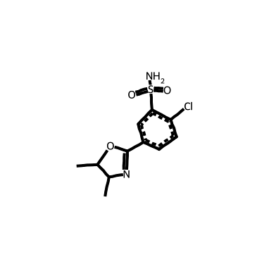 CC1N=C(c2ccc(Cl)c(S(N)(=O)=O)c2)OC1C